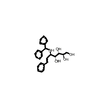 OC[C@@H](O)[C@@H](O)[C@H](O)[C@@H](/C=C/c1ccccc1)NC(c1ccccc1)c1ccccc1